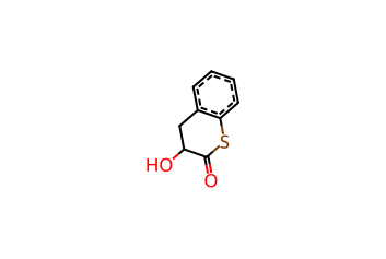 O=C1Sc2ccccc2CC1O